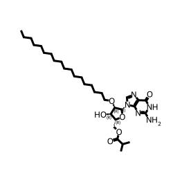 CCCCCCCCCCCCCCCCCCO[C@@H]1[C@H](O)[C@@H](COC(=O)C(C)C)O[C@H]1n1cnc2c(=O)[nH]c(N)nc21